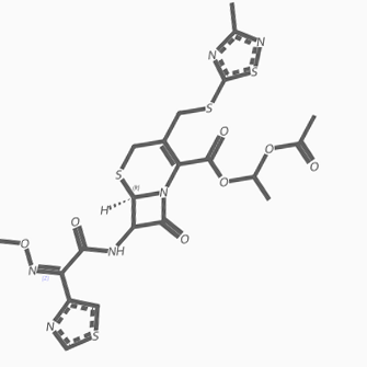 CO/N=C(\C(=O)NC1C(=O)N2C(C(=O)OC(C)OC(C)=O)=C(CSc3nc(C)ns3)CS[C@H]12)c1cscn1